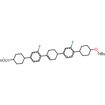 CCCCCCCCC1CCC(c2ccc(C3=CCC(c4ccc(C5CCC(OCCCC)CC5)c(F)c4)CC3)c(F)c2)CC1